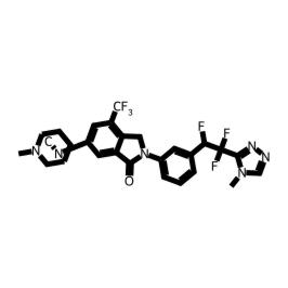 CN1CC2CCC1CN2c1cc2c(c(C(F)(F)F)c1)CN(c1cccc(C(F)C(F)(F)c3nncn3C)c1)C2=O